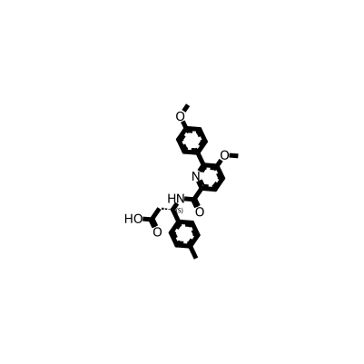 COc1ccc(-c2nc(C(=O)N[C@@H](CC(=O)O)c3ccc(C)cc3)ccc2OC)cc1